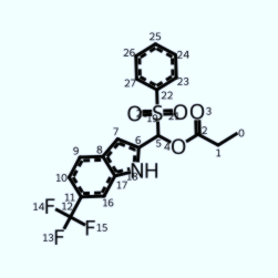 CCC(=O)OC(c1cc2ccc(C(F)(F)F)cc2[nH]1)S(=O)(=O)c1ccccc1